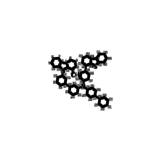 Cc1cccc2c3ccccc3n(-c3cccc(-c4cccc(N(c5ccc(-c6ccccc6)cc5)c5ccc(-c6cccc7c6sc6ccccc67)cc5)c4)c3)c12